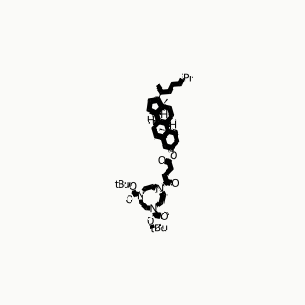 CC(C)CCCC(C)[C@H]1CC[C@H]2[C@@H]3CC=C4C[C@@H](OC(=O)CCC(=O)N5CCN(C(=O)OC(C)(C)C)CCN(C(=O)OC(C)(C)C)CC5)CC[C@]4(C)[C@H]3CC[C@]12C